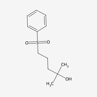 CC(C)(O)CCCS(=O)(=O)c1ccccc1